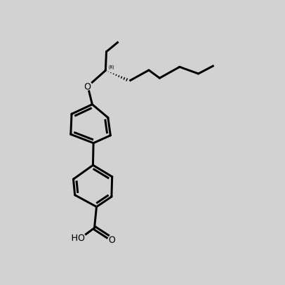 CCCCCC[C@@H](CC)Oc1ccc(-c2ccc(C(=O)O)cc2)cc1